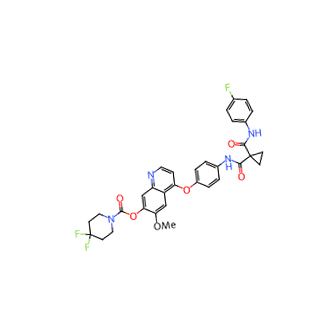 COc1cc2c(Oc3ccc(NC(=O)C4(C(=O)Nc5ccc(F)cc5)CC4)cc3)ccnc2cc1OC(=O)N1CCC(F)(F)CC1